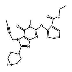 CC#CCn1c(N2CCNCC2)nc2nc(Oc3ccccc3C(=O)OCC)n(C)c(=O)c21